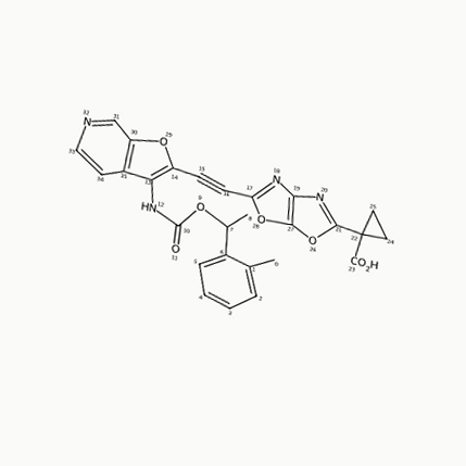 Cc1ccccc1C(C)OC(=O)Nc1c(C#Cc2nc3nc(C4(C(=O)O)CC4)oc3o2)oc2cnccc12